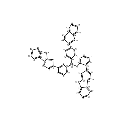 c1cc(-c2ccc3c(c2)sc2ccccc23)cc(N(Cc2ccccc2-c2ccc3c(c2)sc2ccccc23)c2ccc(-c3ccc4ccccc4c3)cc2)c1